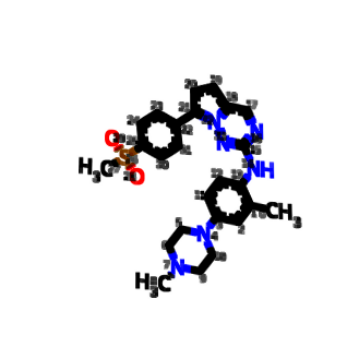 Cc1cc(N2CCN(C)CC2)ccc1Nc1ncc2ccc(-c3ccc(S(C)(=O)=O)cc3)n2n1